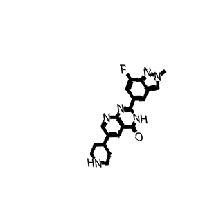 Cn1cc2cc(-c3nc4ncc(C5CCNCC5)cc4c(=O)[nH]3)cc(F)c2n1